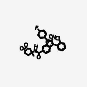 CC1(NC(=O)c2ccc3c(-c4ccccc4Cl)c(C#N)n(-c4ccc(F)cc4)c3c2)CCS(=O)(=O)C1